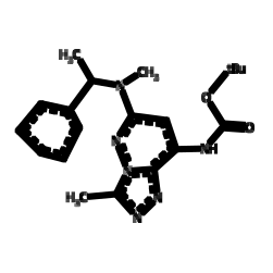 Cc1nnc2c(NC(=O)OC(C)(C)C)cc(N(C)C(C)c3ccccc3)nn12